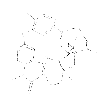 CN1CC2CCC(CN(c3ncc(Cl)c(Nc4ccc5c(c4)c4c(c(=O)n5C)OCC(F)(F)[C@H](C5CC5)N4)n3)C2)C1=O